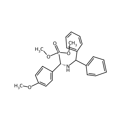 COc1ccc([C@@H](NC(c2ccccc2)c2ccccc2)P(=O)(OC)OC)cc1